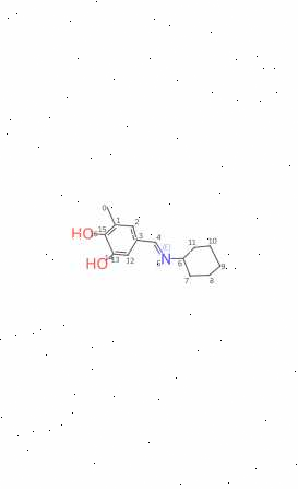 Cc1cc(/C=N/C2CCCCC2)cc(O)c1O